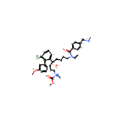 CCN(CCCC[C@@](O)(CCCN(C)C(=O)OC)c1cccc(Cl)c1-c1cccc(OC)c1)C(=O)c1ccc(CNC)cc1